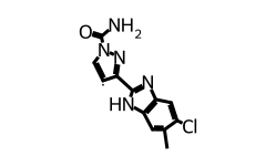 Cc1cc2[nH]c(-c3[c]cn(C(N)=O)n3)nc2cc1Cl